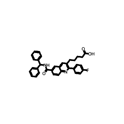 O=C(O)CCCCc1cc2cc(C(=O)NC(c3ccccc3)c3ccccc3)ccc2nc1-c1ccc(F)cc1